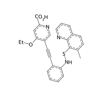 CCOc1cc(C(=O)O)ncc1C#Cc1ccccc1NSc1c(C)ccc2cccnc12